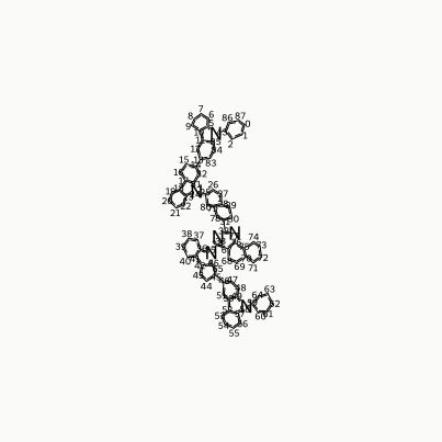 c1ccc(-n2c3ccccc3c3cc(-c4ccc5c6ccccc6n(-c6ccc7ccc(-c8nc(-n9c%10ccccc%10c%10ccc(-c%11ccc%12c(c%11)c%11ccccc%11n%12-c%11ccccc%11)cc%109)c9ccc%10ccccc%10c9n8)cc7c6)c5c4)ccc32)cc1